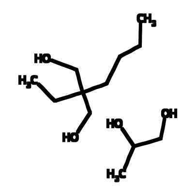 CC(O)CO.CCCCC(CC)(CO)CO